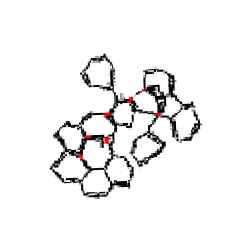 c1ccc(N(c2ccccc2)c2ccc(-c3cccc4ccc5cccc(N(c6ccccc6)c6cccc(C7(c8ccccc8)c8ccccc8-c8ccccc87)c6)c5c34)cc2)cc1